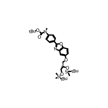 CN(C(=O)OC(C)(C)C)c1ccc(-c2nc3cc(OC[C@H](CO[Si](C)(C)C(C)(C)C)O[Si](C)(C)C(C)(C)C)ccc3o2)cc1